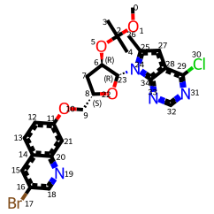 COC(C)(C)O[C@@H]1C[C@@H](COc2ccc3cc(Br)cnc3c2)O[C@H]1n1c(C)cc2c(Cl)ncnc21